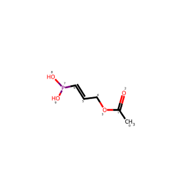 CC(=O)OC/C=C/P(O)O